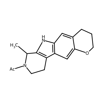 CC(=O)N1CCc2c([nH]c3cc4c(cc23)OCCC4)C1C